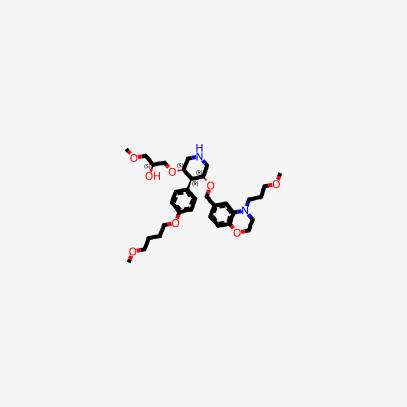 COCCCCOc1ccc([C@@H]2[C@@H](OCc3ccc4c(c3)N(CCCOC)CCO4)CNC[C@H]2OC[C@@H](O)COC)cc1